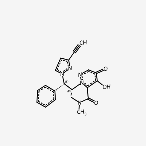 C#Cc1ccn([C@@H](c2ccccc2)[C@H]2CN(C)C(=O)c3c(O)c(=O)cnn32)n1